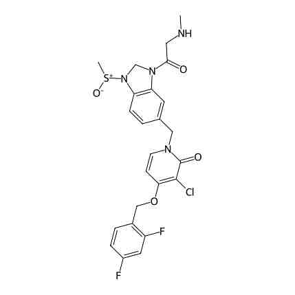 CNCC(=O)N1CN([S+](C)[O-])c2ccc(Cn3ccc(OCc4ccc(F)cc4F)c(Cl)c3=O)cc21